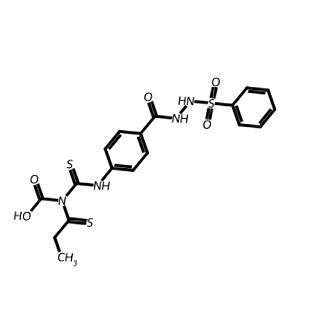 CCC(=S)N(C(=O)O)C(=S)Nc1ccc(C(=O)NNS(=O)(=O)c2ccccc2)cc1